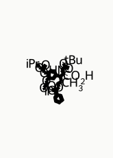 CC(C)OC(=O)Oc1ccc(C(C(C)COC(=O)c2ccccc2)[C@H](NC(=O)OC(C)(C)C)C(=O)O)cc1OC(=O)OC(C)C